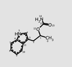 CC(Cc1c[nH]c2ccccc12)OC(N)=O